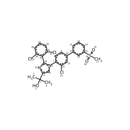 CC(C)(O)c1cn(-c2ccc(-c3cccc(S(C)(=O)=O)c3)cc2Cl)c(-c2c(Cl)cccc2Cl)n1